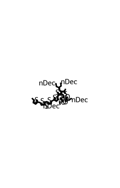 CCCCCCCCCCCCC(CCCCCCCCCCCC)=c1sc(-c2ccc(-c3cc4sc5cc(-c6ccc(C)s6)sc5c4s3)s2)c2c(=C(S(=O)(=O)CCCCCCCCCCCC)S(=O)(=O)CCCCCCCCCCCC)sc(C)c12